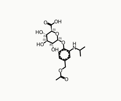 CC(=O)OCc1ccc(O[C@@H]2O[C@H](C(=O)O)[C@@H](O)[C@H](O)[C@H]2O)c(NC(C)C)c1